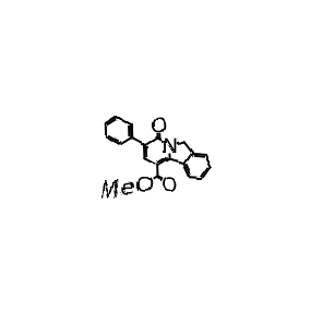 COC(=O)c1cc(-c2ccccc2)c(=O)n2c1-c1ccccc1C2